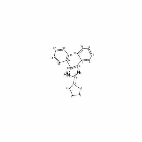 c1ccc(-c2nc(C3CCCC3)[nH]c2-c2ccccc2)cc1